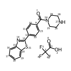 O=C(O)C(F)(F)F.O=C(c1ccc(-c2nc3ccccc3s2)cc1)N1CCNCC1